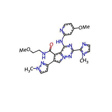 COCCNC(=O)c1c(-c2ccn(C)n2)cn2nc(-c3nccn3C)nc(Nc3cc(OC)ccn3)c12